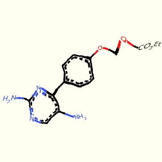 CCOC(=O)OCOc1ccc(-c2nc(N)ncc2N)cc1